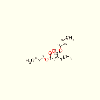 CCCCOC(=O)C=C(CC)C(=O)OCCCC